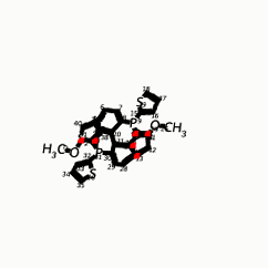 COCOc1cccc(P(c2cccs2)c2cccs2)c1-c1c(OCOC)cccc1P(c1cccs1)c1cccs1